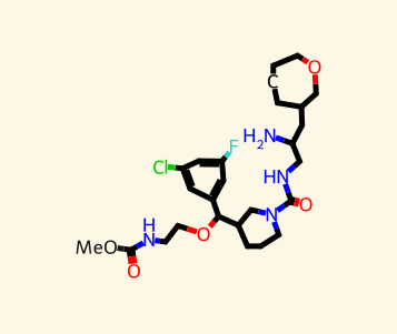 COC(=O)NCCOC(c1cc(F)cc(Cl)c1)C1CCCN(C(=O)NCC(N)CC2CCCCOC2)C1